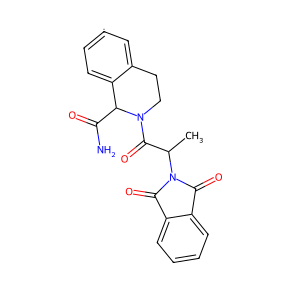 CC(C(=O)N1CCc2c[c]ccc2C1C(N)=O)N1C(=O)c2ccccc2C1=O